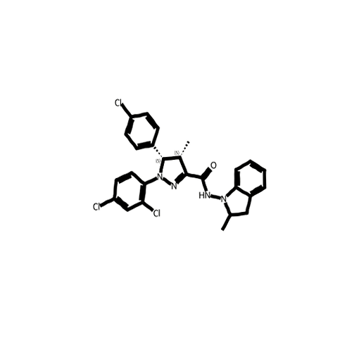 CC1Cc2ccccc2N1NC(=O)C1=NN(c2ccc(Cl)cc2Cl)[C@H](c2ccc(Cl)cc2)[C@@H]1C